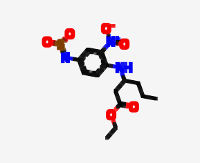 CCCC(CC(=O)OCC)Nc1ccc(N=S(=O)=O)cc1[N+](=O)[O-]